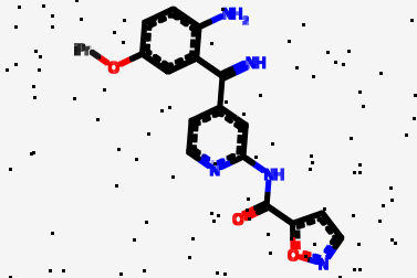 CC(C)Oc1ccc(N)c(C(=N)c2ccnc(NC(=O)c3ccno3)c2)c1